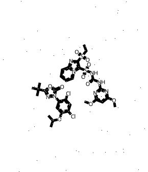 CC(C)Oc1cc(-n2nc(C(C)(C)C)oc2=O)c(Cl)cc1Cl.CCS(=O)(=O)c1nc2ccccn2c1S(=O)(=O)NC(=O)Nc1nc(OC)cc(OC)n1